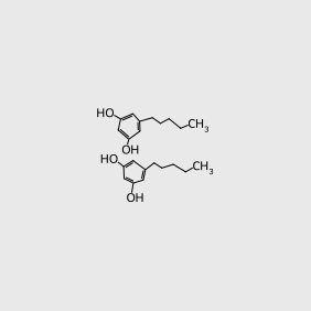 CCCCCc1cc(O)cc(O)c1.CCCCCc1cc(O)cc(O)c1